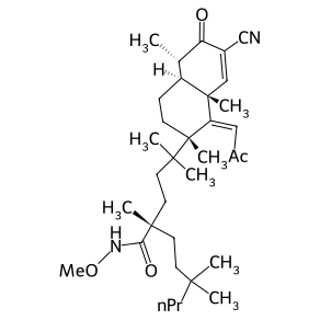 CCCC(C)(C)CC[C@@](C)(CCC(C)(C)[C@]1(C)CC[C@H]2[C@H](C)C(=O)C(C#N)=C[C@]2(C)/C1=C/C(C)=O)C(=O)NOC